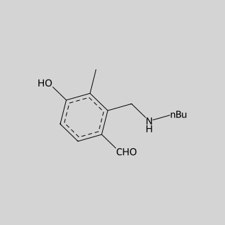 CCCCNCc1c(C=O)ccc(O)c1C